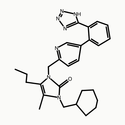 CCCc1c(C)n(CC2CCCCC2)c(=O)n1Cc1ccc(-c2ccccc2-c2nnn[nH]2)cn1